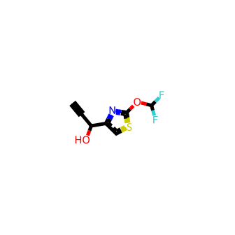 C#CC(O)c1csc(OC(F)F)n1